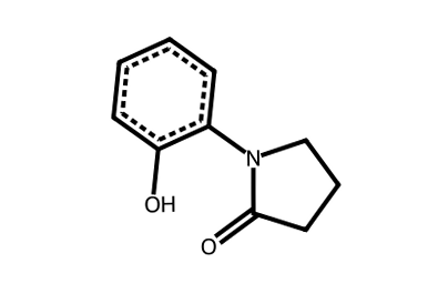 O=C1CCCN1c1ccccc1O